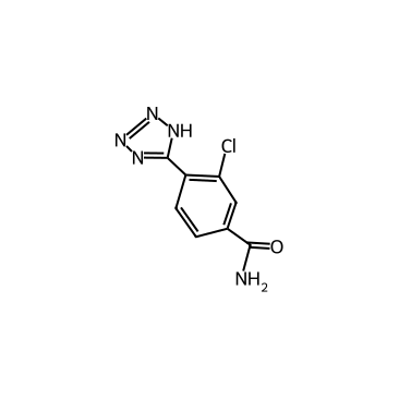 NC(=O)c1ccc(-c2nnn[nH]2)c(Cl)c1